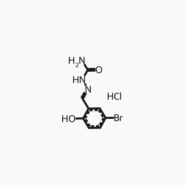 Cl.NC(=O)NN=Cc1cc(Br)ccc1O